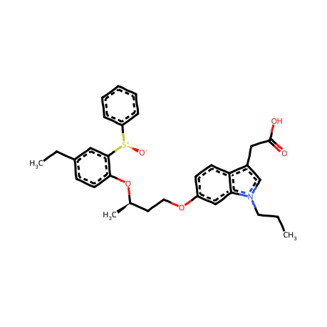 CCCn1cc(CC(=O)O)c2ccc(OCC[C@@H](C)Oc3ccc(CC)cc3[S@+]([O-])c3ccccc3)cc21